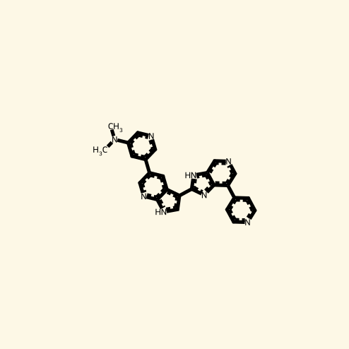 CN(C)c1cncc(-c2cnc3[nH]cc(-c4nc5c(-c6ccncc6)cncc5[nH]4)c3c2)c1